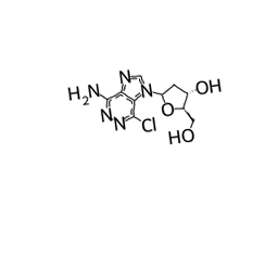 Nc1nnc(Cl)c2c1ncn2C1C[C@H](O)[C@@H](CO)O1